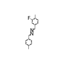 Cc1ccc(C=NN=Cc2ccc(C)c(F)c2)cc1